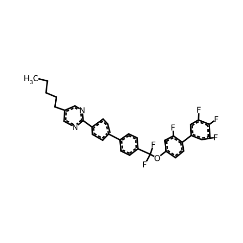 CCCCCc1cnc(-c2ccc(-c3ccc(C(F)(F)Oc4ccc(-c5cc(F)c(F)c(F)c5)c(F)c4)cc3)cc2)nc1